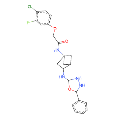 O=C(COc1ccc(Cl)c(F)c1)NC12CC(C1)C(NC1NNC(c3ccccc3)O1)C2